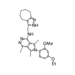 CCOc1ccc(-n2c(C)c3c(C)nnc(NCc4[nH]nc5c4CCCCC5)c3c2C)c(OC)c1